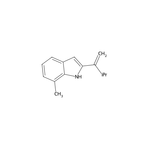 C=C(c1cc2cccc(C)c2[nH]1)C(C)C